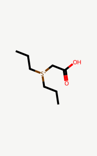 CCC[S+](CCC)CC(=O)O